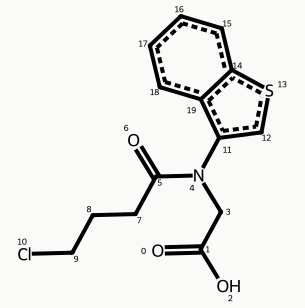 O=C(O)CN(C(=O)CCCCl)c1csc2ccccc12